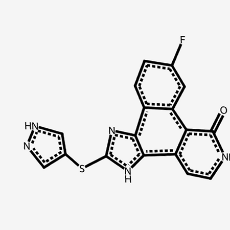 O=c1[nH]ccc2c3[nH]c(Sc4cn[nH]c4)nc3c3ccc(F)cc3c12